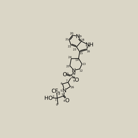 CC(O)(C(=O)N1CC(S(=O)(=O)N2CCC(c3c[nH]c4ncccc34)CC2)C1)C(F)(F)F